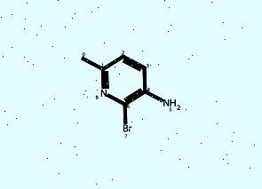 Cc1ccc(N)c(Br)n1